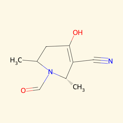 CC1CC(O)=C(C#N)[C@H](C)N1C=O